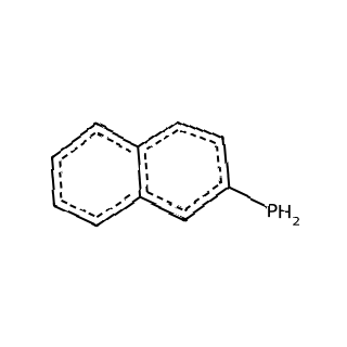 Pc1ccc2ccccc2c1